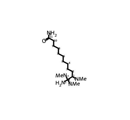 CNC(CCCCCCCCCC(N)=O)C(N)(NC)NC